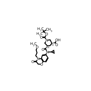 COCCCN1C(=O)COc2ccc(N(C(=O)[C@@H]3C[C@H](C(=O)O)CN(C(=O)OC(C)(C)C)C3)C3CC3)cc21